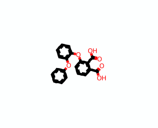 O=C(O)c1cccc(Oc2ccccc2Oc2ccccc2)c1C(=O)O